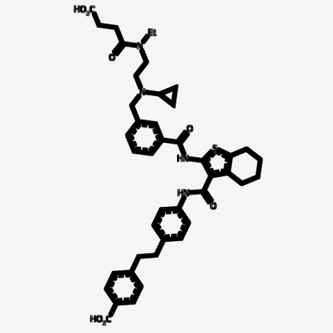 CCN(CCN(Cc1cccc(C(=O)Nc2sc3c(c2C(=O)Nc2ccc(CCc4ccc(C(=O)O)cc4)cc2)CCCC3)c1)C1CC1)C(=O)CCC(=O)O